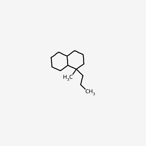 CCCC1(C)CCCC2CCCCC21